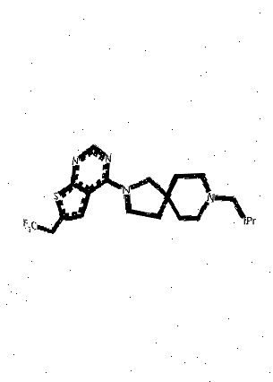 CC(C)CN1CCC2(CC1)CCN(c1ncnc3sc(CC(F)(F)F)cc13)C2